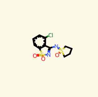 O=S1(=O)N=C(N=S2(=O)CCCC2)c2c(Cl)cccc21